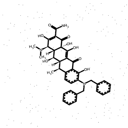 C[C@@H]1c2ccc(N(Cc3ccccc3)Cc3ccccc3)c(O)c2C(=O)C2=C(O)[C@]3(O)C(=O)C(C(N)=O)=C(O)[C@H](N(C)C)[C@H]3[C@H](O)[C@H]21